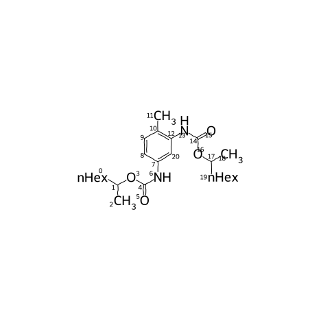 CCCCCCC(C)OC(=O)Nc1ccc(C)c(NC(=O)OC(C)CCCCCC)c1